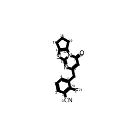 N#Cc1cccc(Cc2cc(=O)n3c4c(sc3n2)CCC4)c1F